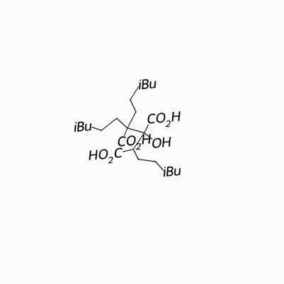 CCC(C)CCC(C(=O)O)C(O)(C(=O)O)C(CCC(C)CC)(CCC(C)CC)C(=O)O